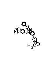 CC(=O)N1CCN(c2ccc3nc(COc4ccccc4)n(Cc4ccc(OC(F)(F)F)cc4)c3c2)CC1